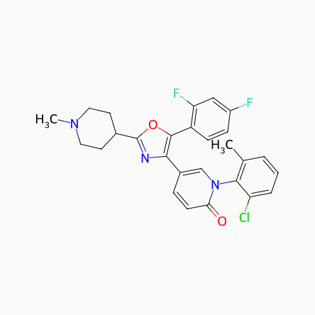 Cc1cccc(Cl)c1-n1cc(-c2nc(C3CCN(C)CC3)oc2-c2ccc(F)cc2F)ccc1=O